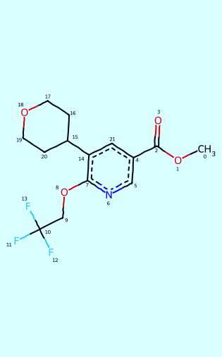 COC(=O)c1cnc(OCC(F)(F)F)c(C2CCOCC2)c1